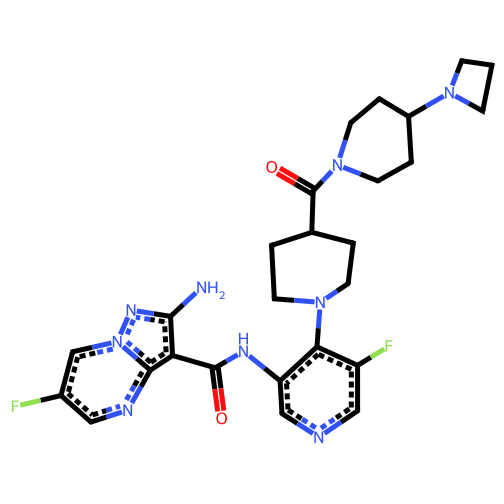 Nc1nn2cc(F)cnc2c1C(=O)Nc1cncc(F)c1N1CCC(C(=O)N2CCC(N3CCC3)CC2)CC1